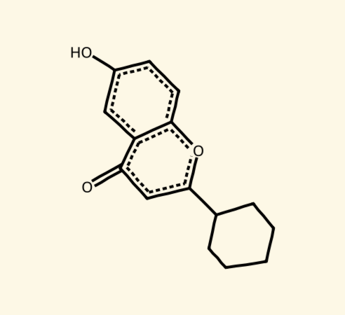 O=c1cc(C2CCCCC2)oc2ccc(O)cc12